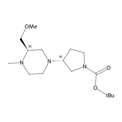 COC[C@H]1CN([C@@H]2CCN(C(=O)OC(C)(C)C)C2)CCN1C